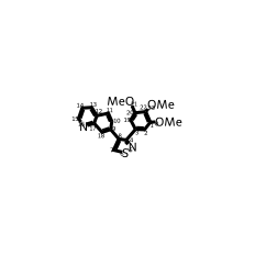 COc1cc(-c2nscc2-c2ccc3cccnc3c2)cc(OC)c1OC